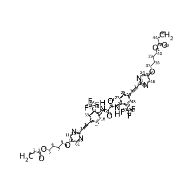 C=CC(=O)OCCCCOc1cnc(C#Cc2ccc(NC(=O)C(=O)Nc3ccc(C#Cc4ncc(OCCCCOC(=O)C=C)cn4)cc3C(F)(F)F)c(C(F)(F)F)c2)nc1